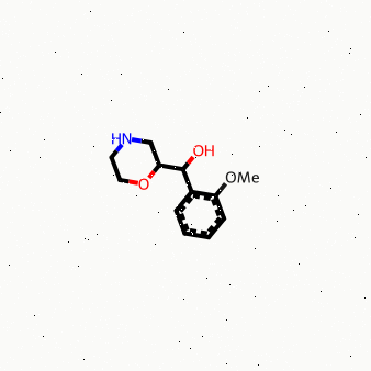 COc1ccccc1C(O)C1CNCCO1